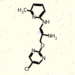 Cc1cccc(N/C=C(\N)COc2ncc(Cl)cn2)n1